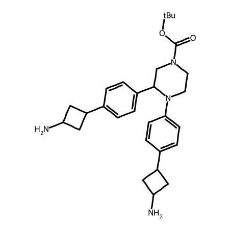 CC(C)(C)OC(=O)N1CCN(c2ccc(C3CC(N)C3)cc2)C(c2ccc(C3CC(N)C3)cc2)C1